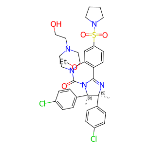 CCOc1cc(S(=O)(=O)N2CCCC2)ccc1C1=N[C@@](C)(c2ccc(Cl)cc2)[C@@](C)(c2ccc(Cl)cc2)N1C(=O)N1CCN(CCO)CC1